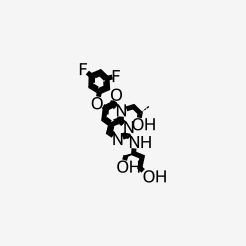 C[C@H](O)Cn1c(=O)c(Oc2cc(F)cc(F)c2)cc2cnc(N[C@H](CO)CCO)nc21